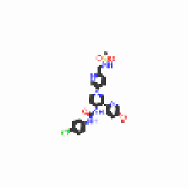 COc1ccc([C@@H]2CN(c3ccc(CNS(C)(=O)=O)nc3)CC[C@H]2NC(=O)Nc2ccc(Cl)cc2)nc1